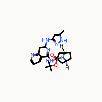 Cc1cc(NC2Cc3ncccc3C(N[C@@H]3C[C@H]4CC[C@@H](C3)N4C(=O)OC(C)(C)C)=N2)n[nH]1